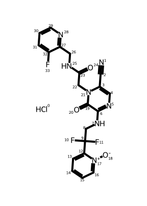 Cl.N#Cc1cnc(NCC(F)(F)c2cccc[n+]2[O-])c(=O)n1CC(=O)NCc1ncccc1F